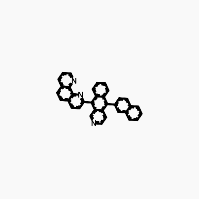 c1ccc2cc(-c3c4ccccc4c(-c4ccc5ccc6cccnc6c5n4)c4cnccc34)ccc2c1